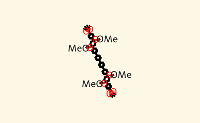 COCOC1(c2ccc(-c3ccc(-c4ccc(-c5ccc(C6(OCOC)CCC(OCOC)(c7ccc(C8OC(C)(C)C(C)(C)O8)cc7)CC6)cc5)cc4)cc3)cc2)CCC(OCOC)(c2ccc(C3OC(C)(C)C(C)(C)O3)cc2)CC1